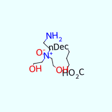 CCCCCCCCCCCCCC(=O)O.NCC[N+]([O-])(CCO)CCO